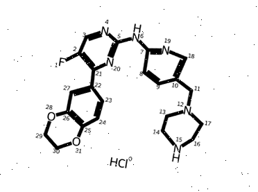 Cl.Fc1cnc(Nc2ccc(CN3CCNCC3)cn2)nc1-c1ccc2c(c1)OCCO2